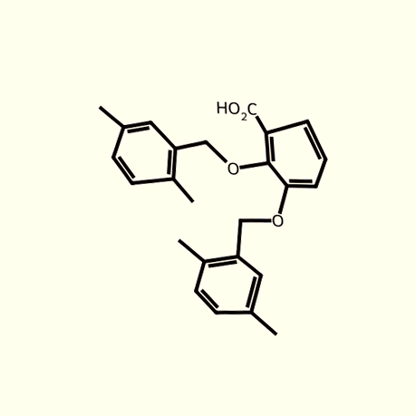 Cc1ccc(C)c(COc2cccc(C(=O)O)c2OCc2cc(C)ccc2C)c1